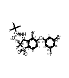 CC(C)(C)[S@@+]([O-])N[C@@H]1c2c(ccc(Oc3cc(F)cc(Br)c3)c2Br)S(=O)(=O)C1(F)F